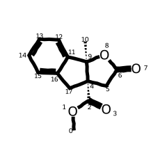 COC(=O)[C@@]12CC(=O)O[C@]1(C)c1ccccc1C2